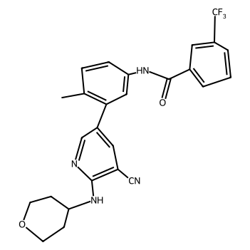 Cc1ccc(NC(=O)c2cccc(C(F)(F)F)c2)cc1-c1cnc(NC2CCOCC2)c(C#N)c1